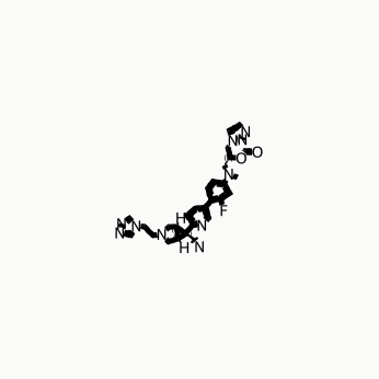 CN(C[C@H](Cn1ccnn1)OC=O)c1ccc(-c2ccc([C@@]3(C#N)[C@@H]4CN(CCn5cnnc5)C[C@@H]43)nc2)c(F)c1